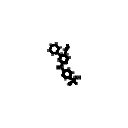 CS(=N)(=O)c1ccc(Nc2ncc(C#N)c(N3CCCCC3)n2)cc1